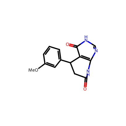 COc1cccc(C2CC(=O)Nc3nc[nH]c(=O)c32)c1